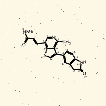 CNC(=O)C=Cc1cnc(N)c2c(-c3ccc4c(c3)CC(=O)N4)csc12